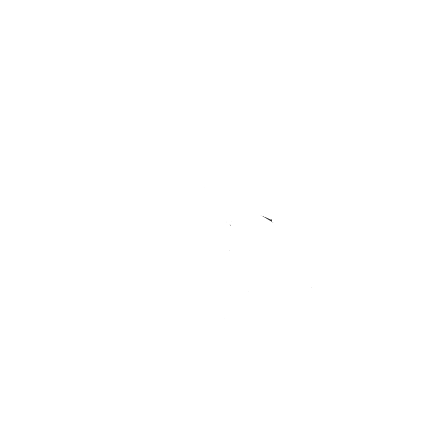 CCOC(=O)[C@@H]1Cc2ccc(-c3ccccc3)cc2CN1C(=O)OC(C)(C)C